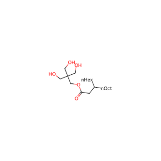 CCCCCCCCC(CCCCCC)CC(=O)OCC(CO)(CO)CO